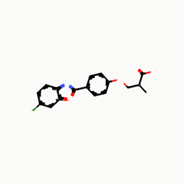 CC(COc1ccc(-c2nc3ccc(Cl)cc3o2)cc1)C(=O)O